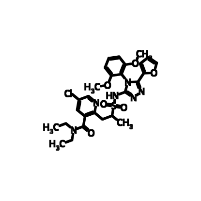 CCN(CC)C(=O)c1cc(Cl)cnc1CC(C)S(=O)(=O)Nc1nnc(-c2ccco2)n1-c1c(OC)cccc1OC